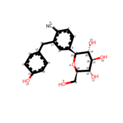 N#Cc1ccc([C@@H]2O[C@H](CO)[C@@H](O)[C@H](O)[C@H]2O)cc1Cc1ccc(O)cc1